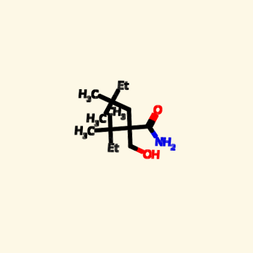 CCC(C)(C)CC(CO)(C(N)=O)C(C)(C)CC